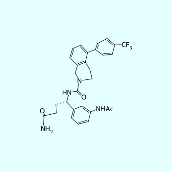 CC(=O)Nc1cccc([C@H](CCC(N)=O)NC(=O)N2CCc3c(cccc3-c3ccc(C(F)(F)F)cc3)C2)c1